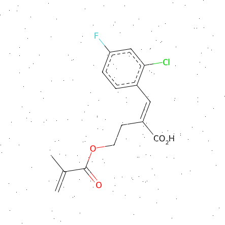 C=C(C)C(=O)OCCC(=Cc1ccc(F)cc1Cl)C(=O)O